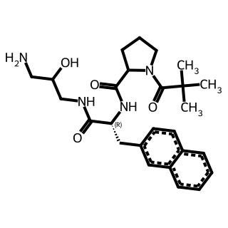 CC(C)(C)C(=O)N1CCCC1C(=O)N[C@H](Cc1ccc2ccccc2c1)C(=O)NCC(O)CN